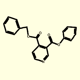 O=C(OCc1ccccc1)c1ccncc1C(=O)Oc1ccccc1